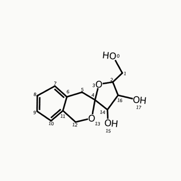 OCC1OC2(Cc3ccccc3CO2)C(O)C1O